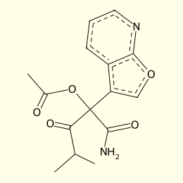 CC(=O)OC(C(N)=O)(C(=O)C(C)C)c1coc2ncccc12